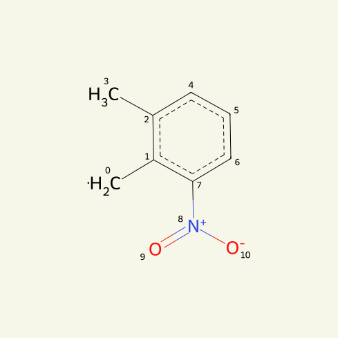 [CH2]c1c(C)cccc1[N+](=O)[O-]